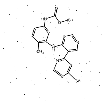 Cc1ccc(NC(=O)OC(C)(C)C)cc1Nc1ncncc1-c1cc(S)ncn1